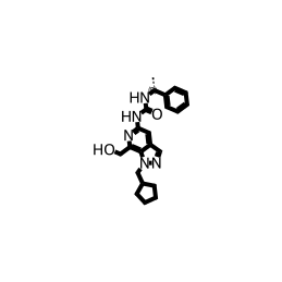 C[C@@H](NC(=O)Nc1cc2cnn(CC3CCCC3)c2c(CO)n1)c1ccccc1